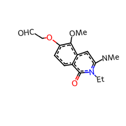 CCn1c(NC)cc2c(OC)c(OCC=O)ccc2c1=O